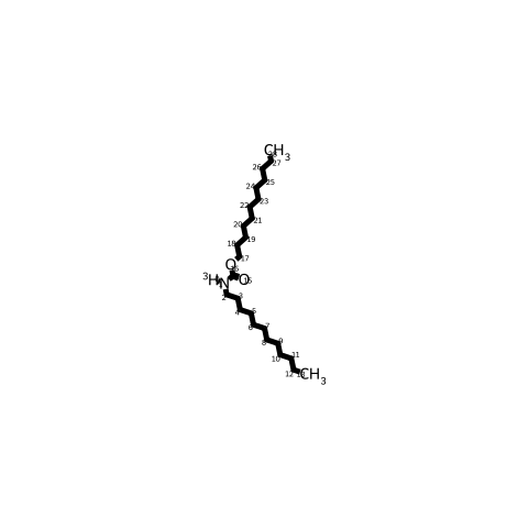 [3H]N(CCCCCCCCCCCC)C(=O)OCCCCCCCCCCCC